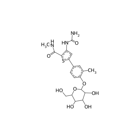 CNC(=O)c1sc(-c2ccc(OC3OC(CO)C(O)C(O)C3O)c(C)c2)cc1NC(N)=O